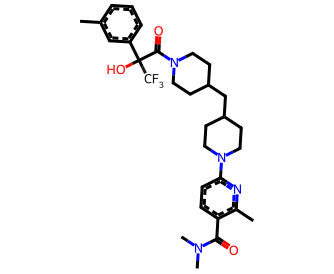 Cc1cccc(C(O)(C(=O)N2CCC(CC3CCN(c4ccc(C(=O)N(C)C)c(C)n4)CC3)CC2)C(F)(F)F)c1